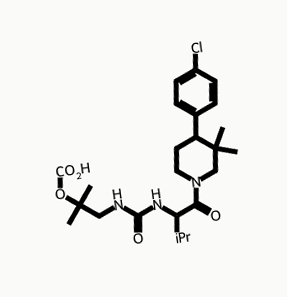 CC(C)C(NC(=O)NCC(C)(C)OC(=O)O)C(=O)N1CCC(c2ccc(Cl)cc2)C(C)(C)C1